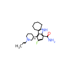 CC=CN1CCC[C@@H](c2c(F)cc(C(N)=O)c3[nH]c4c(c23)CCCCC4)C1